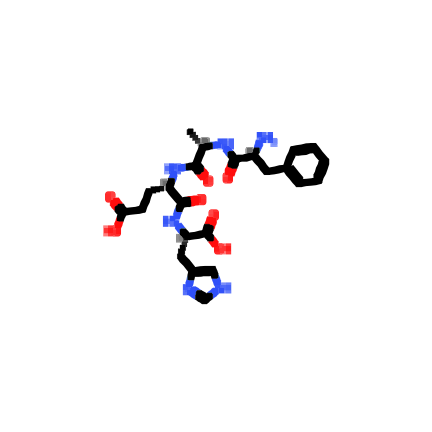 C[C@H](NC(=O)[C@@H](N)Cc1ccccc1)C(=O)N[C@@H](CCC(=O)O)C(=O)N[C@@H](Cc1c[nH]cn1)C(=O)O